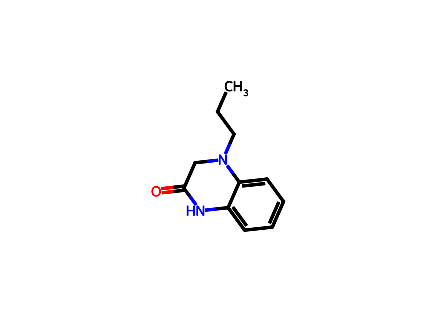 CCCN1CC(=O)Nc2ccccc21